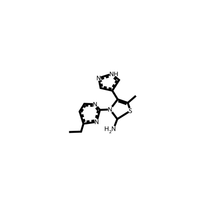 CCc1ccnc(N2C(c3cn[nH]c3)=C(C)SC2N)n1